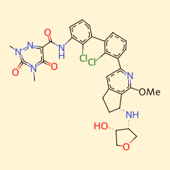 COc1nc(-c2cccc(-c3cccc(NC(=O)c4nn(C)c(=O)n(C)c4=O)c3Cl)c2Cl)cc2c1[C@H](N[C@@H]1COC[C@@H]1O)CC2